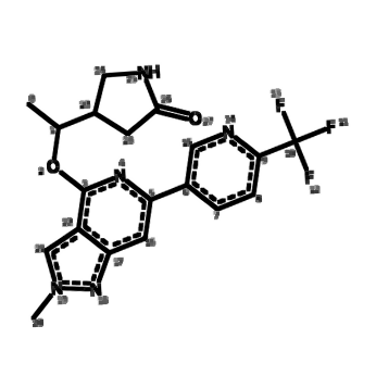 CC(Oc1nc(-c2ccc(C(F)(F)F)nc2)cc2nn(C)cc12)C1CNC(=O)C1